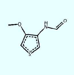 COc1cscc1NC=O